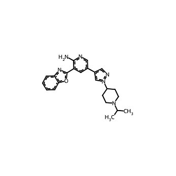 CC(C)N1CCC(n2cc(-c3cnc(N)c(-c4nc5ccccc5o4)c3)cn2)CC1